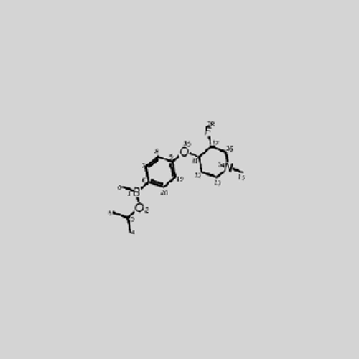 CB(OC(C)C)c1ccc(O[C@@H]2CCN(C)C[C@@H]2F)cc1